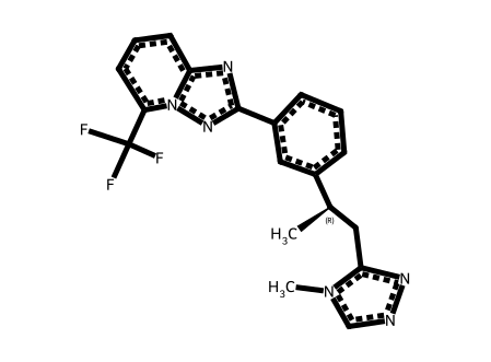 C[C@H](Cc1nncn1C)c1cccc(-c2nc3cccc(C(F)(F)F)n3n2)c1